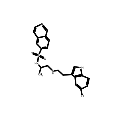 CC(CNCCc1c[nH]c2ccc(Cl)cc12)NS(=O)(=O)c1ccc2cnccc2c1